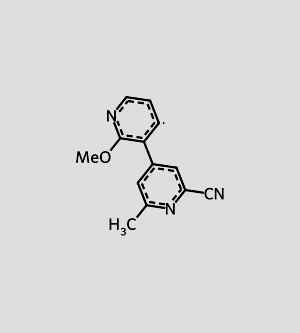 COc1ncc[c]c1-c1cc(C)nc(C#N)c1